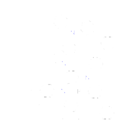 CC1(C)CCC(C)(C)c2cc(N3c4cc5c(cc4B4c6cc(-c7ccccc7)ccc6N(c6ccc(-c7ccccc7)cc6)c6cc(N7c8ccc(N(c9ccccc9)c9ccccc9)cc8C8(C)CCCCC78C)cc3c64)C(C)(C)CCC5(C)C)ccc21